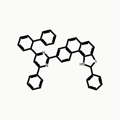 C1=CC(c2ccccc2)C(c2cc(-c3ccccc3)nc(-c3ccc4c(ccc5ccc6c(c54)NC(c4ccccc4)S6)c3)n2)C=C1